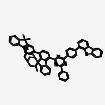 CCC1CC2CC(C)C3(c4ccccc4-c4c(-c5nc(-c6ccccc6)nc(-c6ccc(-c7cccc8c7sc7ccccc78)cc6)n5)ccc(-c5ccc6c(c5)C(C)(C)c5ccccc5-6)c43)C(C1)C2